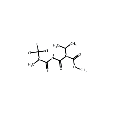 COC(=O)N(C(=O)NC(=S)N(C)C(F)(Cl)Cl)C(C)C